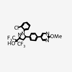 COc1ncc(-c2ccc(C3CC(C(O)(C(F)(F)F)C(F)(F)F)=NN3c3ccccc3Cl)cc2)cn1